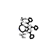 CC(C)(C)[S@@+]([O-])N[C@@H]1C/C=C\CC(CO[Si](C)(C)C(C)(C)C)SC2OC1C(OC(=O)c1ccccc1)C(OC(=O)c1ccccc1)C2OC(=O)c1ccccc1